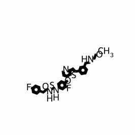 COCCNCCc1cccc(-c2cc3nccc(Oc4ccc(NC(=S)NC(=O)Cc5ccc(F)cc5)cc4F)c3s2)c1